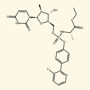 CCOC(=O)[C@H](C)NP(=O)(OC[C@H]1O[C@@H](n2ccc(=O)[nH]c2=O)[C@@H](C)[C@@H]1O)Oc1ccc(-c2ncccc2F)cc1